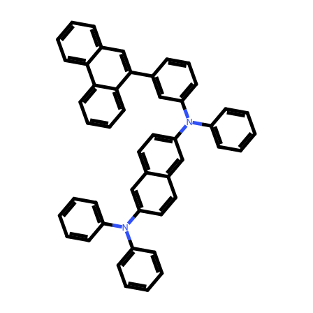 c1ccc(N(c2ccccc2)c2ccc3cc(N(c4ccccc4)c4cccc(-c5cc6ccccc6c6ccccc56)c4)ccc3c2)cc1